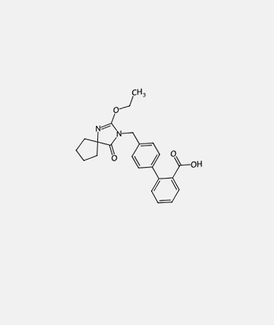 CCOC1=NC2(CCCC2)C(=O)N1Cc1ccc(-c2ccccc2C(=O)O)cc1